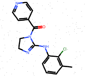 Cc1cccc(NC2=NCCN2C(=O)c2ccncc2)c1Cl